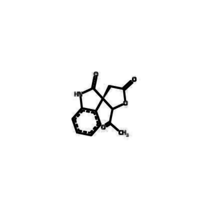 CC(=O)C1OC(=O)C[C@@]12C(=O)Nc1ccccc12